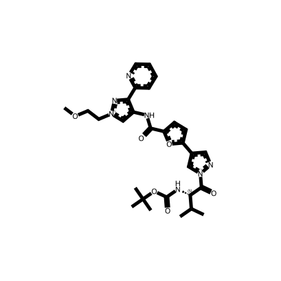 COCCn1cc(NC(=O)c2ccc(-c3cnn(C(=O)[C@@H](NC(=O)OC(C)(C)C)C(C)C)c3)o2)c(-c2ccccn2)n1